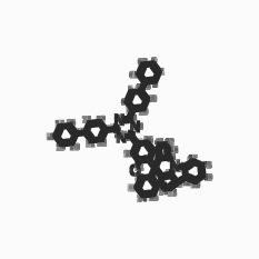 c1ccc(-c2ccc(-c3nc(-c4ccc(-c5ccccc5)cc4)nc(-c4ccc5c(c4)Oc4ccccc4C54c5ccccc5-n5c6ccccc6c6cccc4c65)n3)cc2)cc1